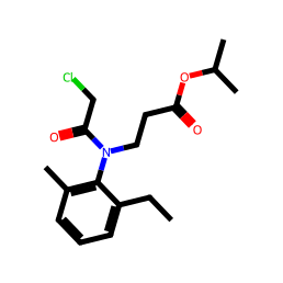 CCc1cccc(C)c1N(CCC(=O)OC(C)C)C(=O)CCl